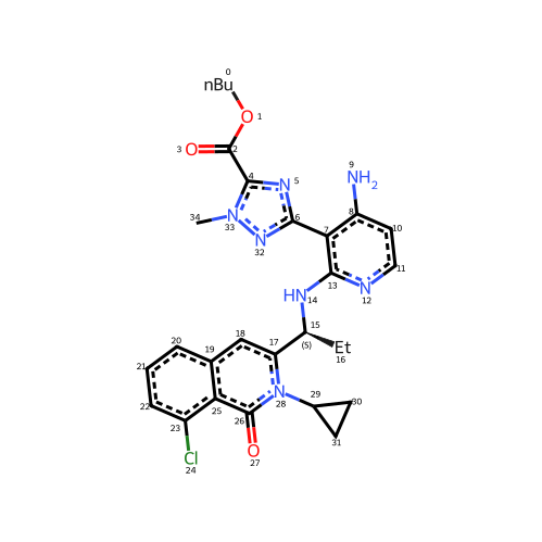 CCCCOC(=O)c1nc(-c2c(N)ccnc2N[C@@H](CC)c2cc3cccc(Cl)c3c(=O)n2C2CC2)nn1C